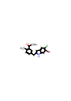 COC(=O)c1cc(Cc2cc3cc(Cl)c(Br)cc3[nH]2)ccc1C